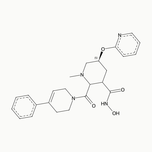 CN1C[C@@H](Oc2ccccn2)CC(C(=O)NO)C1C(=O)N1CC=C(c2ccccc2)CC1